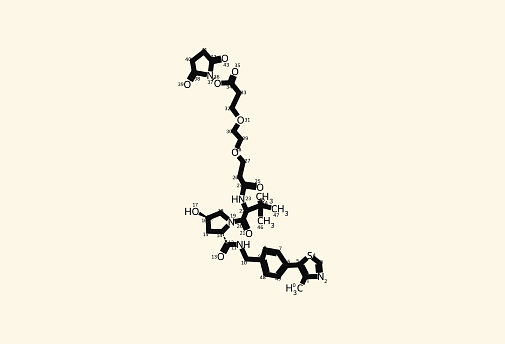 Cc1ncsc1-c1ccc(CNC(=O)[C@@H]2C[C@@H](O)CN2C(=O)C(NC(=O)CCOCCOCCC(=O)ON2C(=O)CCC2=O)C(C)(C)C)cc1